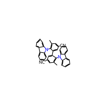 Cc1cc(C#N)cc(-c2cc(C#N)cc(C)c2-n2c3ccccc3c3ccccc32)c1-n1c2ccccc2c2ccccc21